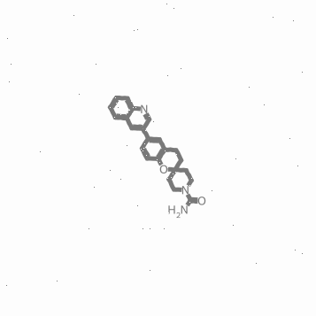 NC(=O)N1CCC2(CCc3cc(-c4cnc5ccccc5c4)ccc3O2)CC1